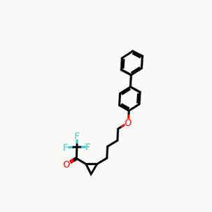 O=C(C1CC1CCCCOc1ccc(-c2ccccc2)cc1)C(F)(F)F